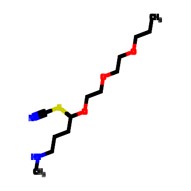 CCCOCCOCCOC(CCCNC)SC#N